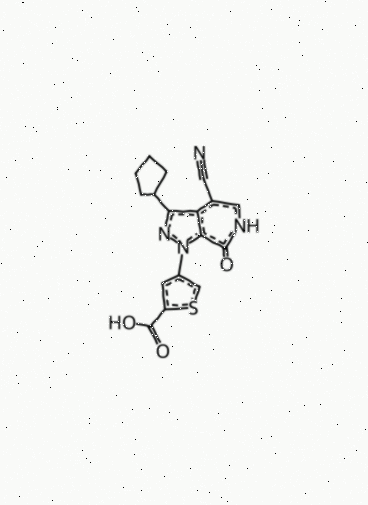 N#Cc1c[nH]c(=O)c2c1c(C1CCCC1)nn2-c1csc(C(=O)O)c1